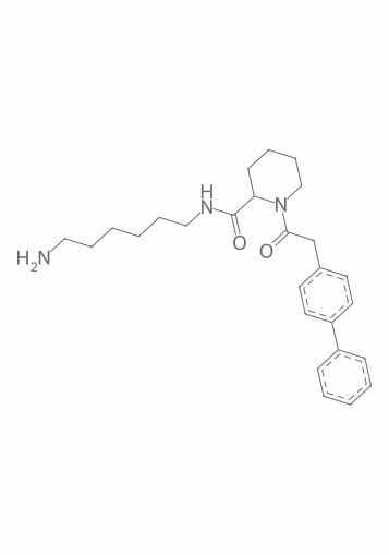 NCCCCCCNC(=O)C1CCCCN1C(=O)Cc1ccc(-c2ccccc2)cc1